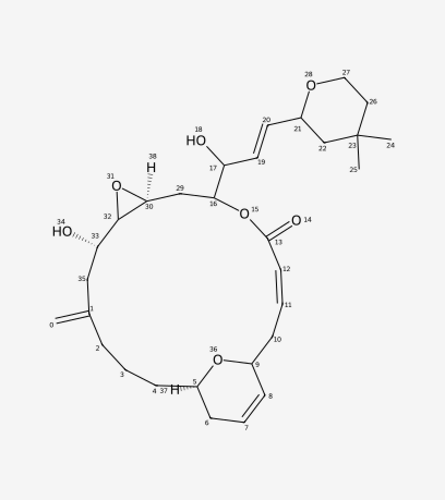 C=C1CCC[C@@H]2CC=CC(C/C=C\C(=O)OC(C(O)/C=C/C3CC(C)(C)CCO3)C[C@@H]3OC3[C@@H](O)C1)O2